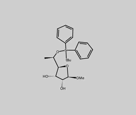 CO[C@@H]1O[C@H]([C@@H](C)O[Si](c2ccccc2)(c2ccccc2)C(C)(C)C)[C@@H](O)[C@H]1O